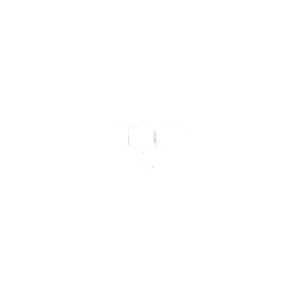 COc1c(F)c(F)cc(CBr)c1F